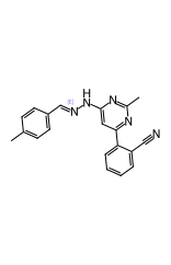 Cc1ccc(/C=N/Nc2cc(-c3ccccc3C#N)nc(C)n2)cc1